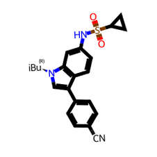 CC[C@@H](C)n1cc(-c2ccc(C#N)cc2)c2ccc(NS(=O)(=O)C3CC3)cc21